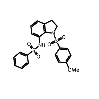 COc1ccc(S(=O)(=O)N2CCc3cccc(NS(=O)(=O)c4ccccc4)c32)cc1